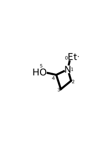 C[CH]N1CCC1O